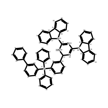 c1ccc(-c2cccc([Si](c3ccccc3)(c3ccccc3)c3cccc(C4N=C(n5c6ccccc6c6ccccc65)N=C(n5c6ccccc6c6ccccc65)N4)c3)c2)cc1